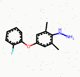 Cc1cc(Oc2ccccc2F)cc(C)c1NN